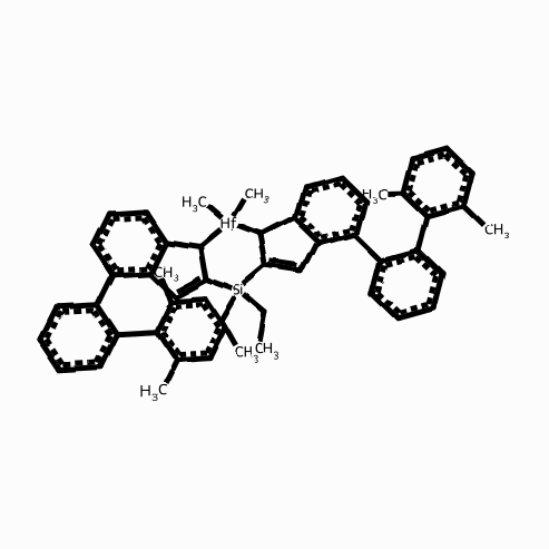 CC[Si]1(CC)C2=Cc3c(-c4ccccc4-c4c(C)cccc4C)cccc3[CH]2[Hf]([CH3])([CH3])[CH]2C1=Cc1c(-c3ccccc3-c3c(C)cccc3C)cccc12